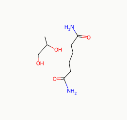 CC(O)CO.NC(=O)CCCCC(N)=O